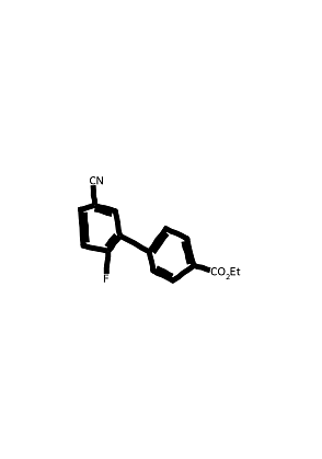 CCOC(=O)c1ccc(-c2cc(C#N)ccc2F)cc1